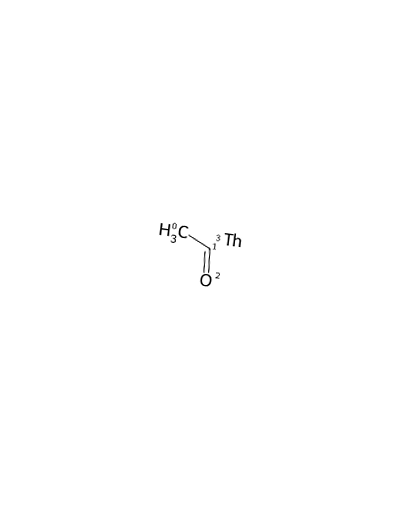 CC=O.[Th]